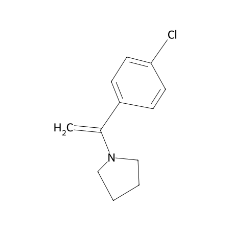 C=C(c1ccc(Cl)cc1)N1CCCC1